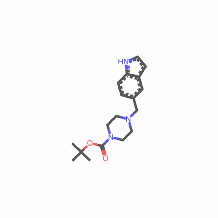 CC(C)(C)OC(=O)N1CCN(Cc2ccc3[nH]ccc3c2)CC1